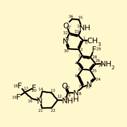 Cc1c(-c2cc3cc(NC(=O)NC4CCN(CC(F)(F)F)CC4)ncc3c(N)c2F)cnc2c1NCCO2